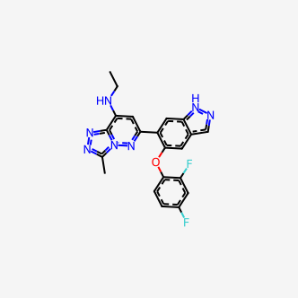 CCNc1cc(-c2cc3[nH]ncc3cc2Oc2ccc(F)cc2F)nn2c(C)nnc12